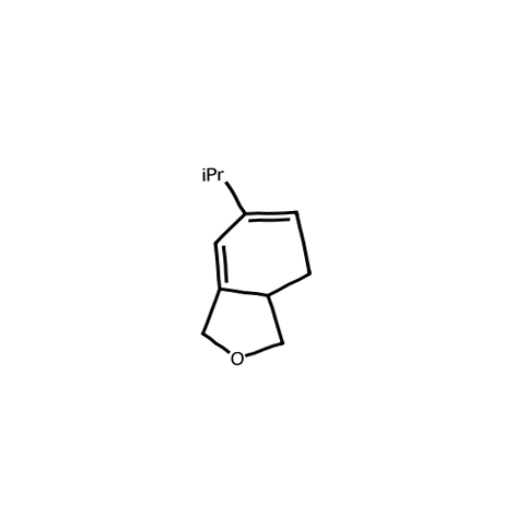 CC(C)C1=CCC2COCC2=C1